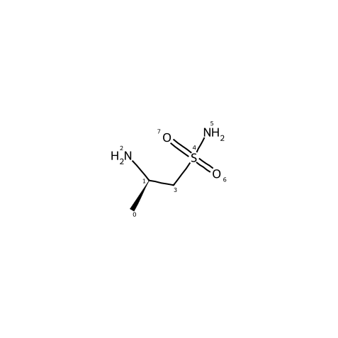 C[C@@H](N)CS(N)(=O)=O